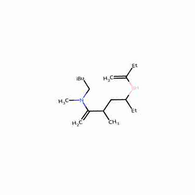 C=C(BC(CC)CC(C)C(=C)N(C)CC(C)CC)CC